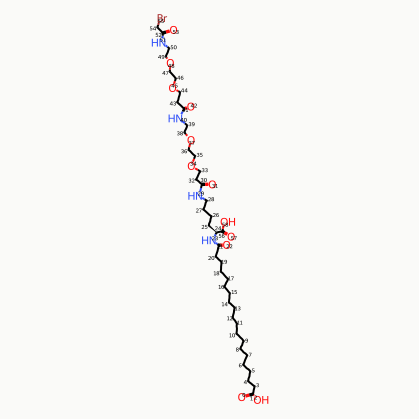 O=C(O)CCCCCCCCCCCCCCCCCCC(=O)N[C@@H](CCCCNC(=O)CCOCCOCCNC(=O)CCOCCOCCNC(=O)CBr)C(=O)O